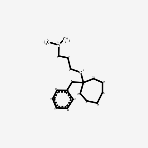 CN(C)CCCOC1(Cc2ccccc2)CCCCCC1